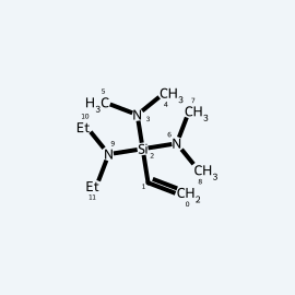 C=C[Si](N(C)C)(N(C)C)N(CC)CC